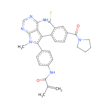 C=C(C)C(=O)Nc1ccc(-c2c(-c3ccc(C(=O)N4CCCC4)cc3C(F)F)c3c(N)ncnc3n2C)cc1